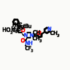 Cc1cc(-c2ccc(C(C)(C)N3CCN(C[C@H](C[C@@H](Cc4ccccc4)C(=O)O)O[Si](C)(C)C(C)(C)C)[C@H](C(=O)NCC(F)(F)F)C3)o2)ccn1